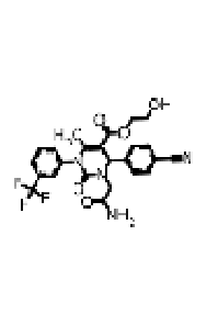 CC1=C(C(=O)OCCO)[C@@H](c2ccc(C#N)cc2)N(CC(N)=O)C(=O)N1c1cccc(C(F)(F)F)c1